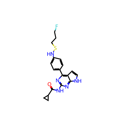 O=C(Nc1nc(-c2ccc(NSCCCF)cc2)c2cc[nH]c2n1)C1CC1